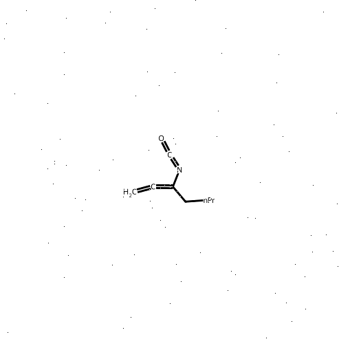 C=C=C(CCCC)N=C=O